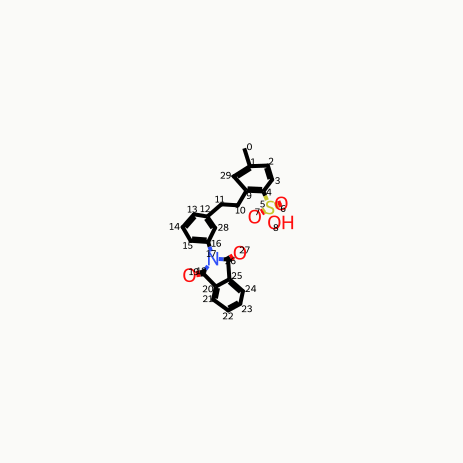 Cc1ccc(S(=O)(=O)O)c(CCc2cccc(N3C(=O)c4ccccc4C3=O)c2)c1